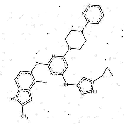 Cc1cc2c(F)c(Oc3nc(Nc4cc(C5CC5)[nH]n4)cc(N4CCN(c5ccccn5)CC4)n3)ccc2[nH]1